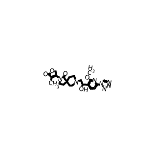 COc1nc(-n2cnnn2)ccc1C(O)CN1CCC2(CC1)CCN(C1=C(C)C(=O)OC1)C2=O